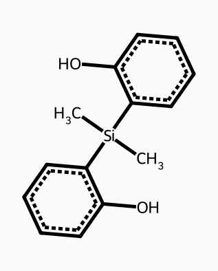 C[Si](C)(c1ccccc1O)c1ccccc1O